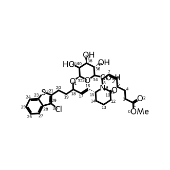 COC(=O)CCC/C=C\CN1C(=O)CCC[C@@H]1/C=C/C(CCc1sc2ccccc2c1Cl)O[C@@H]1OC(C(=O)O)[C@@H](O)[C@H](O)C1O